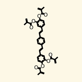 C=C(C)C(=O)Oc1ccc(/C=C/c2ccc(/C=C/c3ccc(OC(=O)C(=C)C)c(OC(=O)C(=C)C)c3)cc2)cc1OC(=O)C(=C)C